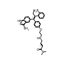 Bc1ccccc1/C(CC)=C(\c1ccc(OCCNC/C=C/C(=O)N(C)C)cc1)c1ccc2[nH]nc(B)c2c1